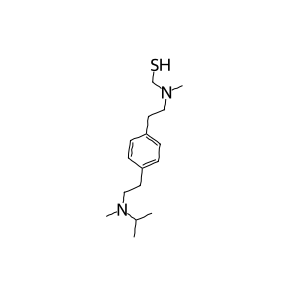 CC(C)N(C)CCc1ccc(CCN(C)CS)cc1